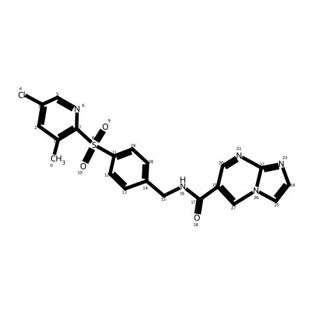 Cc1cc(Cl)cnc1S(=O)(=O)c1ccc(CNC(=O)c2cnc3nccn3c2)cc1